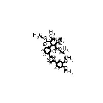 CCOC(=O)C1=C(C)NC(C)=C(C(=O)OCC)C1c1cccc(-c2nc(-c3ccc(OC)c(OC)c3)cs2)c1